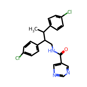 CC(c1ccc(Cl)cc1)C(CNC(=O)c1cncnc1)c1ccc(Cl)cc1